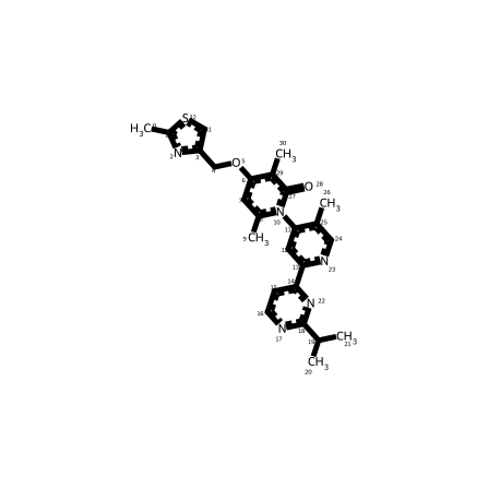 Cc1nc(COc2cc(C)n(-c3cc(-c4ccnc(C(C)C)n4)ncc3C)c(=O)c2C)cs1